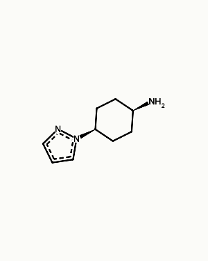 N[C@H]1CC[C@@H](n2cccn2)CC1